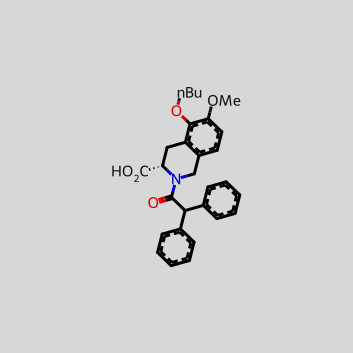 CCCCOc1c(OC)ccc2c1C[C@@H](C(=O)O)N(C(=O)C(c1ccccc1)c1ccccc1)C2